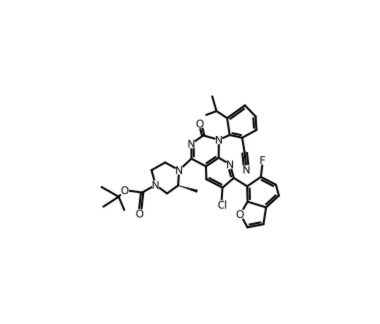 CC(C)c1cccc(C#N)c1-n1c(=O)nc(N2CCN(C(=O)OC(C)(C)C)C[C@@H]2C)c2cc(Cl)c(-c3c(F)ccc4ccoc34)nc21